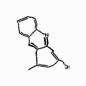 Cc1cc(O)cc2nc3ccccc3cc12